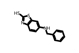 Sc1nc2ccc(NCc3ccccc3)cc2s1